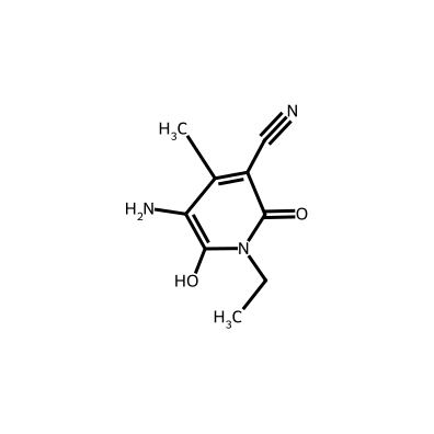 CCn1c(O)c(N)c(C)c(C#N)c1=O